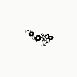 O=C(O)NC1c2ccccc2CCN1S(=O)(=O)c1ccc(Oc2ccc(O)cc2)cc1